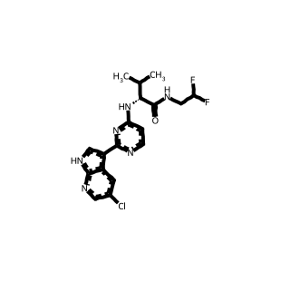 CC(C)[C@@H](Nc1ccnc(-c2c[nH]c3ncc(Cl)cc23)n1)C(=O)NCC(F)F